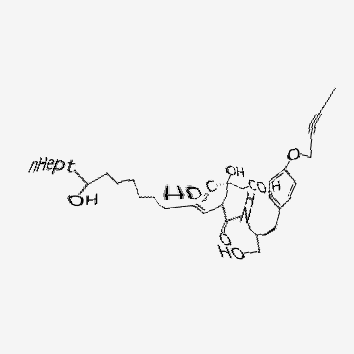 CC#CCOc1ccc(C[C@@H](CO)NC(=O)C(/C=C/CCCCCCC(O)CCCCCCC)[C@@](O)(CC(=O)O)C(=O)O)cc1